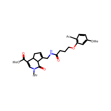 CCCN1C=C(C(=O)OC)C2CC=C(CNC(=O)CCCOc3cc(OC)ccc3C(C)=O)C2C1=O